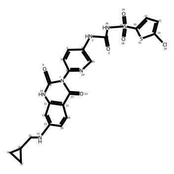 O=C(Nc1ccc(-n2c(=O)[nH]c3cc(NCC4CC4)ccc3c2=O)nc1)NS(=O)(=O)c1ccc(Cl)s1